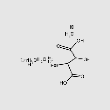 O.O.O.O.O=C(O)C(O)C(O)C(=O)O.[Cu].[KH].[NaH]